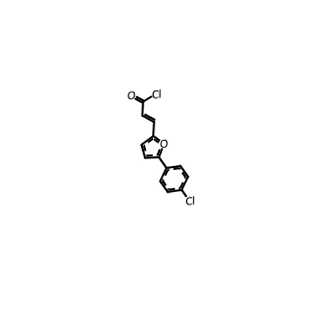 O=C(Cl)/C=C/c1ccc(-c2ccc(Cl)cc2)o1